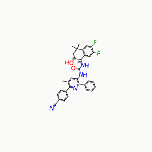 Cc1cc(NC(=O)N[C@@H]2c3cc(F)c(F)cc3C(C)(C)C[C@H]2O)c(-c2ccccc2)nc1-c1ccc(C#N)cc1